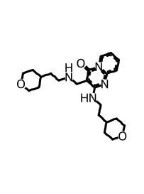 O=c1c(CNCCC2CCOCC2)c(NCCC2CCOCC2)nc2ccccn12